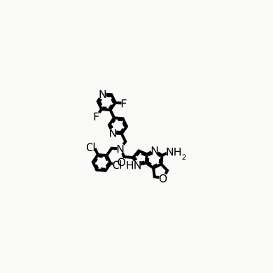 Nc1nc2cc(C(=O)N(Cc3ccc(-c4c(F)cncc4F)cn3)Cc3c(Cl)cccc3Cl)[nH]c2c2c1COC2